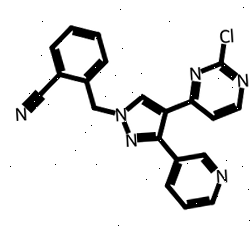 N#Cc1ccccc1Cn1cc(-c2ccnc(Cl)n2)c(-c2cccnc2)n1